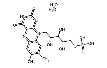 Cc1cc2nc3c(=O)[nH]c(=O)nc-3n(C[C@@H](O)[C@@H](O)[C@@H](O)COP(=O)(O)O)c2cc1C.O.O